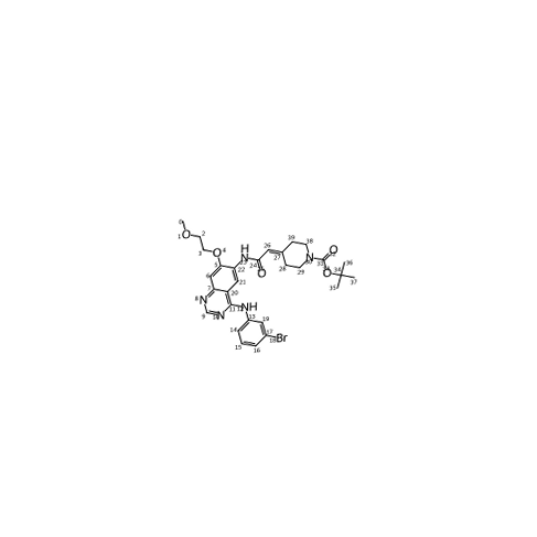 COCCOc1cc2ncnc(Nc3cccc(Br)c3)c2cc1NC(=O)C=C1CCN(C(=O)OC(C)(C)C)CC1